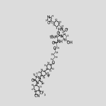 Cc1ncoc1-c1ccc(CNC(=O)[C@@H]2C[C@@H](O)CN2C(=O)C(NC(=O)COCCCCOc2ccc(-c3ccc(N4C(=S)N(c5ccc(C#N)c(C(F)(F)F)c5)C(=O)C4(C)C)cc3F)cc2)C(C)(C)C)cc1